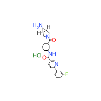 Cl.N[C@@H]1[C@H]2CN(C(=O)[C@@H]3CCC[C@H](NC(=O)c4ccc(-c5cccc(F)c5)nc4)C3)C[C@@H]12